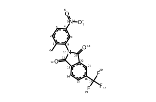 Cc1ccc([N+](=O)[O-])cc1N1C(=O)c2ccc(C(F)(F)F)cc2C1=O